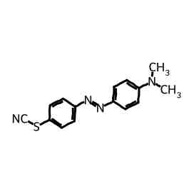 CN(C)c1ccc(N=Nc2ccc(SC#N)cc2)cc1